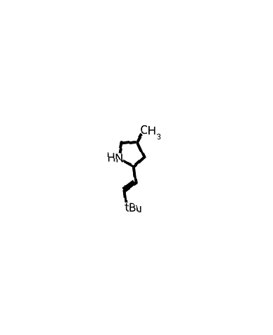 CC1CNC(/C=C/C(C)(C)C)C1